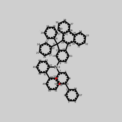 c1ccc(-c2ccc(N(c3ccc4c(c3)C(c3ccccc3)(c3ccccc3)c3c-4c4ccccc4c4ccccc34)c3ccccc3-c3ccccc3)cc2)cc1